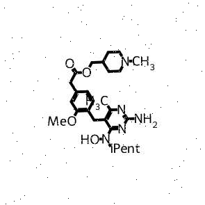 CCCC(C)N(O)c1nc(N)nc(C)c1Cc1ccc(CC(=O)OCC2CCN(C)CC2)cc1OC